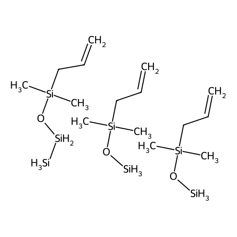 C=CC[Si](C)(C)O[SiH2][SiH3].C=CC[Si](C)(C)O[SiH3].C=CC[Si](C)(C)O[SiH3]